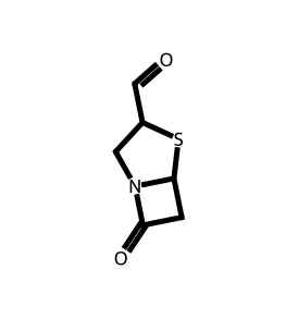 O=CC1CN2C(=O)CC2S1